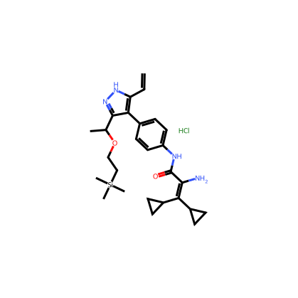 C=Cc1[nH]nc(C(C)OCC[Si](C)(C)C)c1-c1ccc(NC(=O)C(N)=C(C2CC2)C2CC2)cc1.Cl